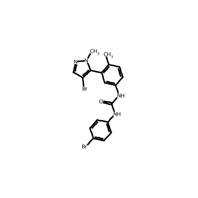 Cc1ccc(NC(=O)Nc2ccc(Br)cc2)cc1-c1c(Br)cnn1C